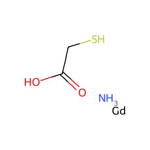 N.O=C(O)CS.[Gd]